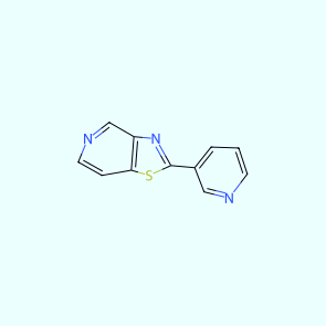 c1cncc(-c2nc3cnccc3s2)c1